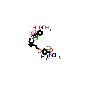 COc1cccc(C(O)(C(=O)N2CCC3(CCC3CCCOc3ccc(C(=O)N(C)C)c(Cl)c3)CC2)C(F)(F)F)c1